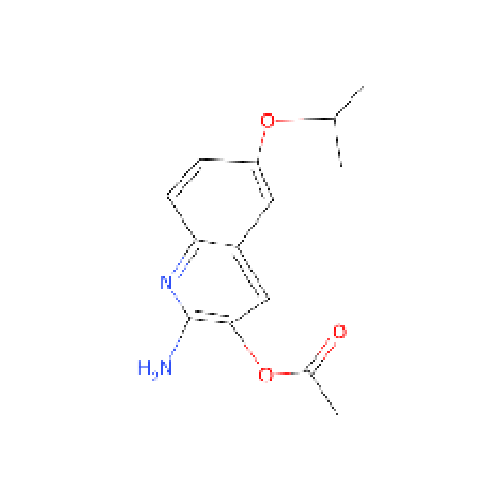 CC(=O)Oc1cc2cc(OC(C)C)ccc2nc1N